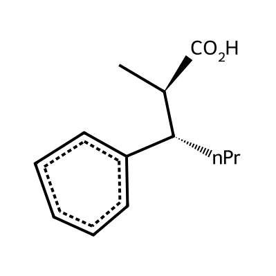 CCC[C@H](c1ccccc1)[C@@H](C)C(=O)O